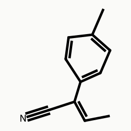 C/C=C(/C#N)c1ccc(C)cc1